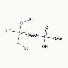 CCOP(=O)(O)OCC.COP(=O)(O)OC